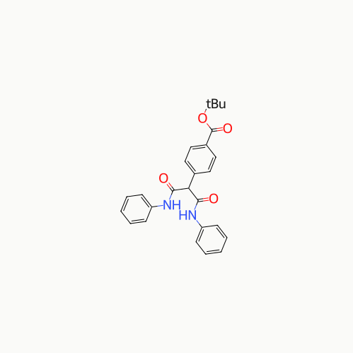 CC(C)(C)OC(=O)c1ccc(C(C(=O)Nc2ccccc2)C(=O)Nc2ccccc2)cc1